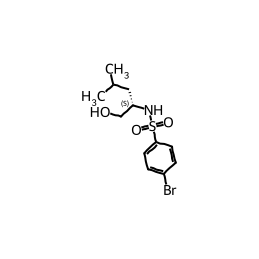 CC(C)C[C@@H](CO)NS(=O)(=O)c1ccc(Br)cc1